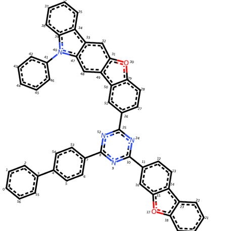 c1ccc(-c2ccc(-c3nc(-c4ccc5c(c4)oc4ccccc45)nc(-c4ccc5oc6cc7c8ccccc8n(-c8ccccc8)c7cc6c5c4)n3)cc2)cc1